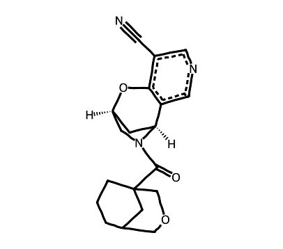 N#Cc1cncc2c1O[C@H]1C[C@@H]2N(C(=O)C23CCCC(COC2)C3)C1